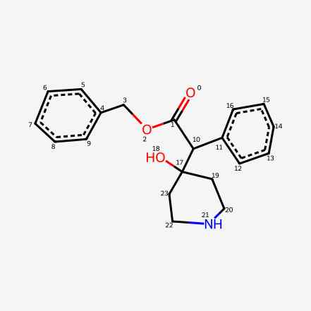 O=C(OCc1ccccc1)C(c1ccccc1)C1(O)CCNCC1